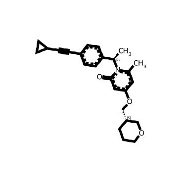 Cc1cc(OC[C@H]2CCCOC2)cc(=O)n1[C@H](C)c1ccc(C#CC2CC2)cc1